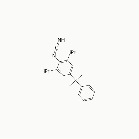 CC(C)c1cc(C(C)(C)c2ccccc2)cc(C(C)C)c1N=C=N